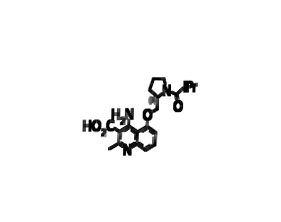 Cc1nc2cccc(OC[C@H]3CCCN3C(=O)C(C)C)c2c(N)c1C(=O)O